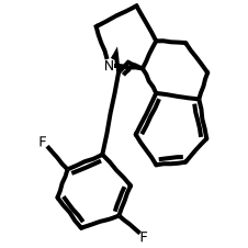 Fc1ccc(F)c(C2=CC34c5ccccc5CCC3CCN4C2)c1